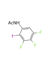 CC(=O)Nc1cc(F)c(F)c(F)c1I